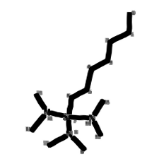 CCCCCCC[Si](N(C)C)(N(C)C)N(C)C